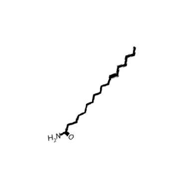 CCCCCC=CCCCCCCCCCCC(N)=O